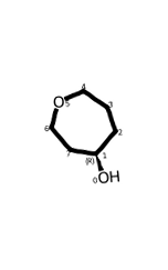 O[C@@H]1CCCOCC1